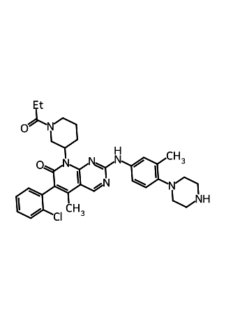 CCC(=O)N1CCCC(n2c(=O)c(-c3ccccc3Cl)c(C)c3cnc(Nc4ccc(N5CCNCC5)c(C)c4)nc32)C1